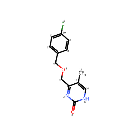 O=c1nc(COCc2ccc(Cl)cc2)c(C(F)(F)F)c[nH]1